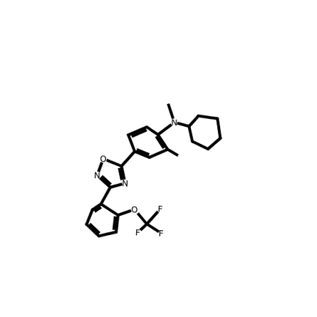 Cc1cc(-c2nc(-c3ccccc3OC(F)(F)F)no2)ccc1N(C)C1CCCCC1